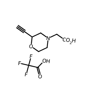 C#CC1CN(CC(=O)O)CCO1.O=C(O)C(F)(F)F